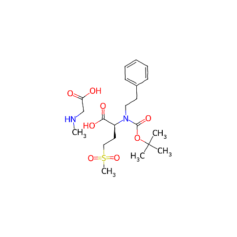 CC(C)(C)OC(=O)N(CCc1ccccc1)[C@@H](CCS(C)(=O)=O)C(=O)O.CNCC(=O)O